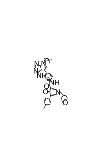 Cc1ccc(-c2cn(CC3CCOCC3)cc(C(=O)Nc3ccc(-c4cn(C(C)C)c5ncnc(N)c45)cc3)c2=O)cc1